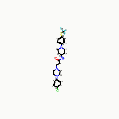 O=C(CCN1CCN(c2ccc(Cl)cc2)CC1)NC1CCN(c2ccc(SC(F)(F)F)cc2)CC1